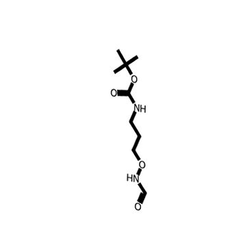 CC(C)(C)OC(=O)NCCCONC=O